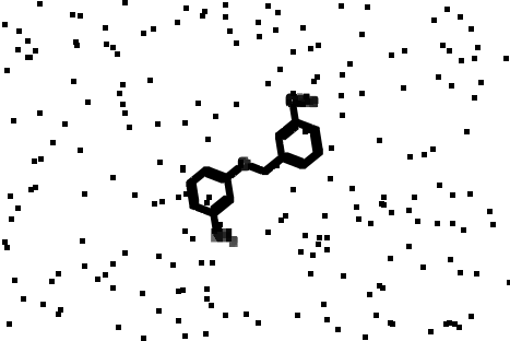 COc1cccc(COc2cccc(N)c2)c1